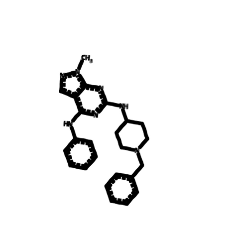 Cn1ncc2c(Nc3ccccc3)nc(NC3CCN(Cc4ccccc4)CC3)nc21